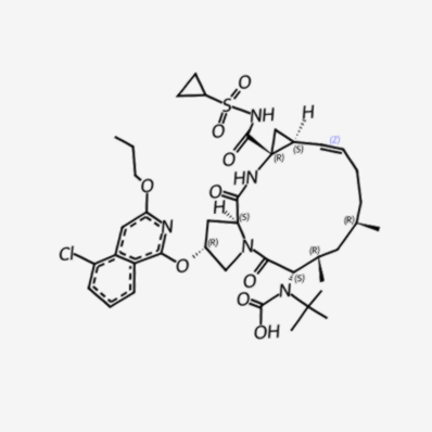 CCCOc1cc2c(Cl)cccc2c(O[C@@H]2C[C@H]3C(=O)N[C@]4(C(=O)NS(=O)(=O)C5CC5)C[C@H]4/C=C\CC[C@@H](C)C[C@@H](C)[C@H](N(C(=O)O)C(C)(C)C)C(=O)N3C2)n1